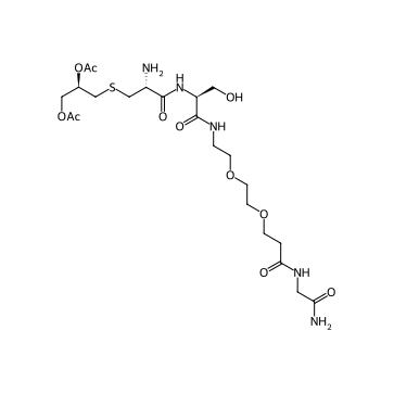 CC(=O)OC[C@H](CSC[C@H](N)C(=O)N[C@@H](CO)C(=O)NCCOCCOCCC(=O)NCC(N)=O)OC(C)=O